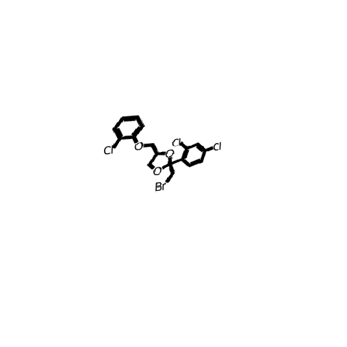 Clc1ccc(C2(CBr)OCC(COc3ccccc3Cl)O2)c(Cl)c1